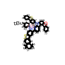 CC(C)(C)c1ccc(Nc2cc3sc4cc5c(cc4c3cc2-c2ccc3c4c6c(ccc4n4c3c2Bc2cc3c(cc2-4)sc2ccccc23)oc2ccccc26)C(C)(C)CCC5(C)C)cc1